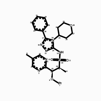 Cc1cnc([C@H](OC(C)C)[C@H](C)S(=O)(=O)Nc2nnc(-c3ccccc3)n2C2CCOCC2)nc1